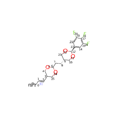 CCC/C=C/C1COC(CC[C@H]2CO[C@H](c3cc(F)c(F)c(F)c3)OC2)OC1